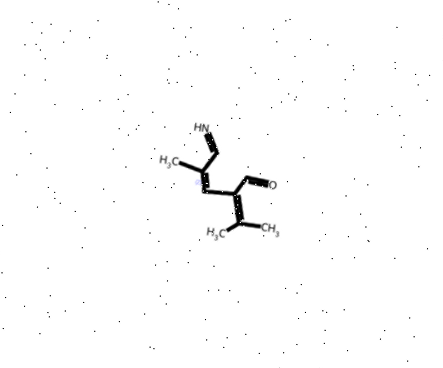 CC(C)=C(C=O)/C=C(/C)C=N